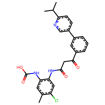 Cc1cc(NC(=O)O)c(NC(=O)CC(=O)c2cccc(-c3ccc(C(C)C)nc3)c2)cc1Cl